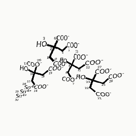 O=C([O-])CC(O)(CC(=O)[O-])C(=O)[O-].O=C([O-])CC(O)(CC(=O)[O-])C(=O)[O-].O=C([O-])CC(O)(CC(=O)[O-])C(=O)[O-].O=C([O-])CC(O)(CC(=O)[O-])C(=O)[O-].[Sn+4].[Sn+4].[Sn+4]